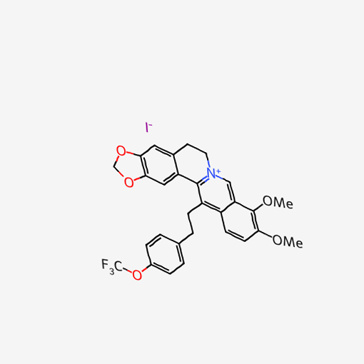 COc1ccc2c(CCc3ccc(OC(F)(F)F)cc3)c3[n+](cc2c1OC)CCc1cc2c(cc1-3)OCO2.[I-]